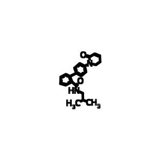 CC(C)CNC(=O)c1ccccc1-c1ccc(N2CCC=CC2=O)cc1